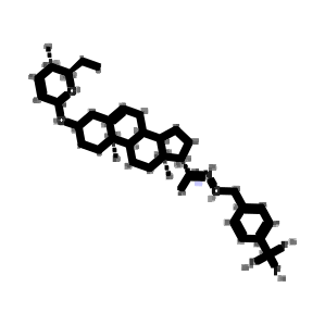 CC[C@H]1OC(OC2CC[C@@]3(C)C(=CCC4C3CC[C@@]3(C)C4CC[C@@H]3/C(C)=N/OCc3ccc(C(F)(F)F)cc3)C2)C=C[C@@H]1C